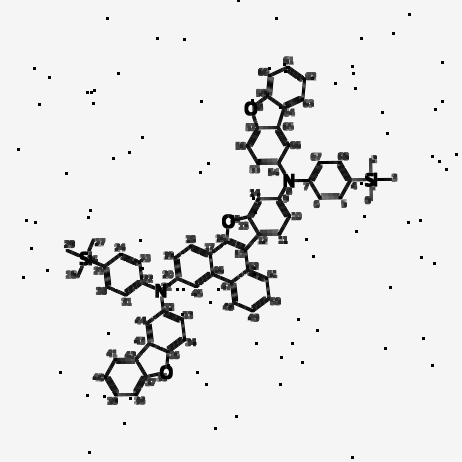 C[Si](C)(C)c1ccc(N(c2ccc3c(c2)oc2c4ccc(N(c5ccc([Si](C)(C)C)cc5)c5ccc6oc7ccccc7c6c5)cc4c4ccccc4c32)c2ccc3oc4ccccc4c3c2)cc1